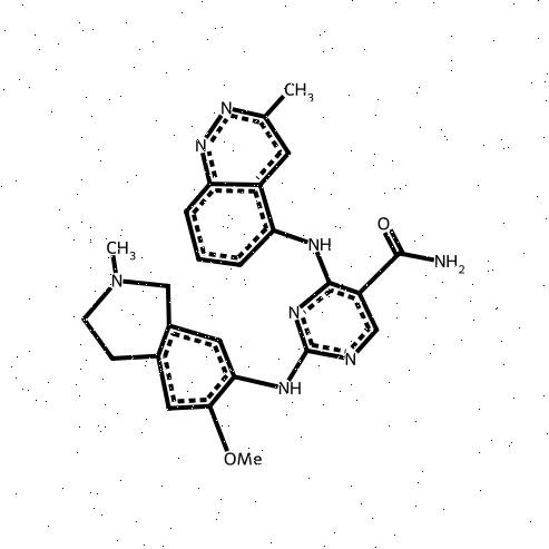 COc1cc2c(cc1Nc1ncc(C(N)=O)c(Nc3cccc4nnc(C)cc34)n1)CN(C)CC2